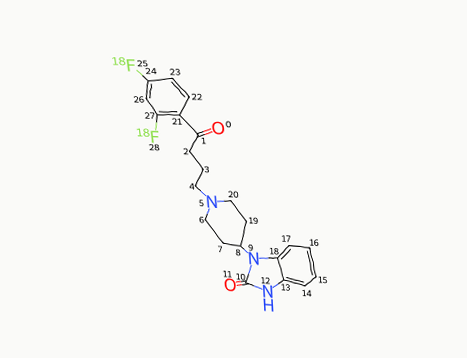 O=C(CCCN1CCC(n2c(=O)[nH]c3ccccc32)CC1)c1ccc([18F])cc1[18F]